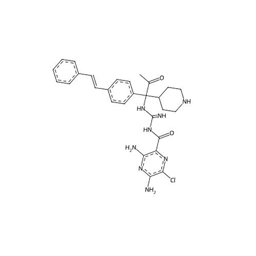 CC(=O)C(NC(=N)NC(=O)c1nc(Cl)c(N)nc1N)(c1ccc(C=Cc2ccccc2)cc1)C1CCNCC1